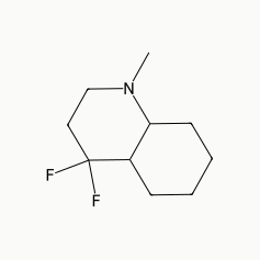 CN1CCC(F)(F)C2CCCCC21